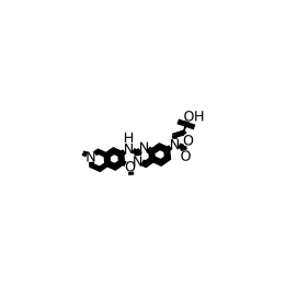 COc1cc2c(cc1Nc1ncc3ccc(N4C[C@@H](C(C)(C)O)OC4=O)cc3n1)CN(C)CC2